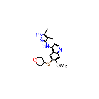 COc1cc2nccc(Nc3n[nH]c(C)c3C)c2cc1SC1CCOCC1